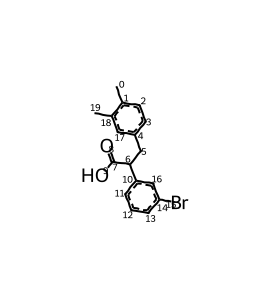 Cc1ccc(CC(C(=O)O)c2cccc(Br)c2)cc1C